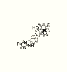 OC(CN1CCC2(CCC(Nc3ncc(F)cn3)CC2)C1)(Cn1cncn1)c1ccc(F)cc1F